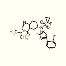 CC(C)n1cnc2c(c1=O)[C@@H](Cc1csc(-c3ccccc3F)n1)[C@@H](NS(=O)(=O)C1(F)CC1)CC2